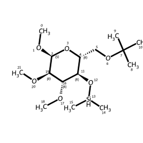 CO[C@H]1O[C@H](COC(C)(C)C)[C@@H](O[SiH](C)C)[C@H](OC)[C@H]1OC